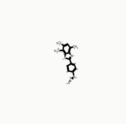 Cc1cc(C)c2nc(-c3ccc(N=C=S)cc3)sc2c1C